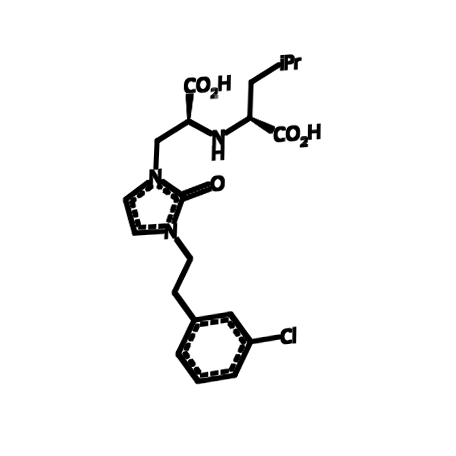 CC(C)C[C@H](N[C@@H](Cn1ccn(CCc2cccc(Cl)c2)c1=O)C(=O)O)C(=O)O